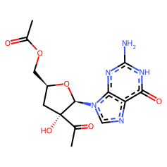 CC(=O)OC[C@@H]1C[C@](O)(C(C)=O)[C@H](n2cnc3c(=O)[nH]c(N)nc32)O1